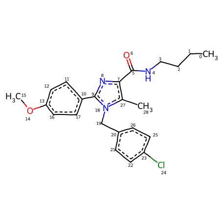 CCCCNC(=O)c1nc(-c2ccc(OC)cc2)n(Cc2ccc(Cl)cc2)c1C